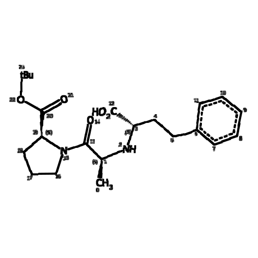 C[C@H](N[C@@H](CCc1ccccc1)C(=O)O)C(=O)N1CCC[C@H]1C(=O)OC(C)(C)C